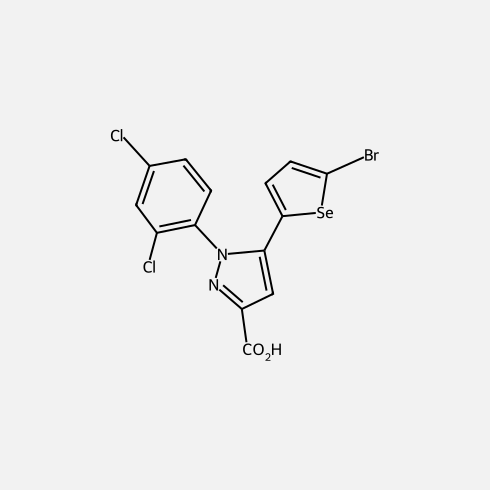 O=C(O)c1cc(-c2ccc(Br)[se]2)n(-c2ccc(Cl)cc2Cl)n1